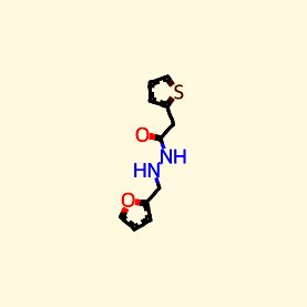 O=C(Cc1cccs1)NNCc1ccco1